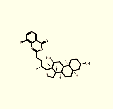 C[C@H](CCc1nc2c(F)cccc2c(=O)o1)[C@H]1CC[C@H]2[C@@H]3CC[C@@H]4C[C@H](O)CC[C@]4(C)C3C[C@H](O)[C@]12C